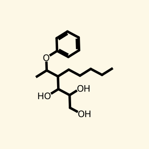 CCCCCC(C(C)Oc1ccccc1)C(O)C(O)CO